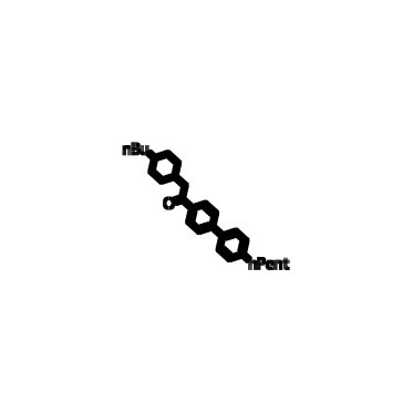 CCCCCc1ccc(-c2ccc(C(=O)CC3CCC(CCCC)CC3)cc2)cc1